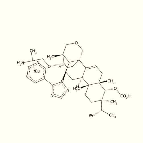 CC(C)[C@@H](C)[C@@]1(C)CC[C@]2(C)[C@H]3CC[C@@H]4[C@@]5(COC[C@@]4(C)[C@@H](OC[C@](C)(N)C(C)(C)C)[C@H](n4ncnc4-c4cncnc4)C5)C3=CC[C@]2(C)[C@@H]1OC(=O)O